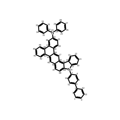 c1ccc(-c2ccc(-n3c4ccccc4c4c5cc6c7ccc(N(c8ccccc8)c8ccccc8)cc7c7ccccc7c6cc5ccc43)cc2)cc1